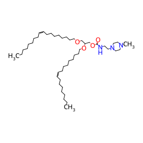 CCCCCCCC/C=C\CCCCCCCCOCC(COC(=O)NCCN1CCN(C)CC1)OCCCCCCCC/C=C\CCCCCCCC